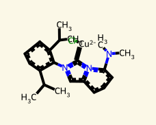 CC(C)c1cccc(C(C)C)c1-n1cc2cccc(N(C)C)n2[c]1=[Cu-2][Cl]